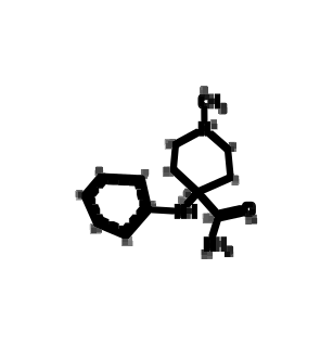 CN1CCC(Nc2ccccc2)(C(N)=O)CC1